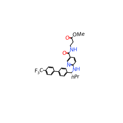 CCC[C@@H](Nc1ccc(C(=O)NCCC(=O)OC)cn1)c1ccc(-c2ccc(C(F)(F)F)cc2)cc1